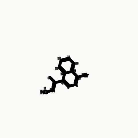 C/C(=N\O)c1ccc(Br)c2ccccc12